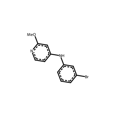 COc1cc(Nc2cccc(Br)c2)ccn1